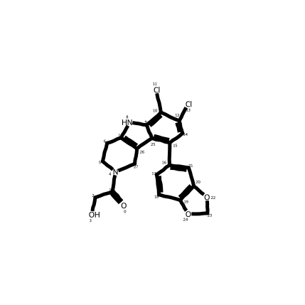 O=C(CO)N1CCc2[nH]c3c(Cl)c(Cl)cc(-c4ccc5c(c4)OCO5)c3c2C1